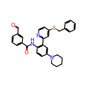 O=Cc1cccc(C(=O)Nc2ccc(N3CCCCC3)cc2-c2cc(SCc3ccccc3)ccn2)c1